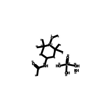 CON1C(C)(C)CC(NC(C)=O)CC1(C)C.O=P(O)(O)O.[KH]